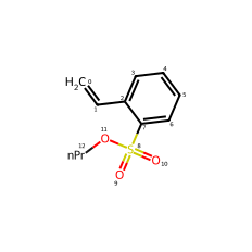 C=Cc1ccccc1S(=O)(=O)OCCC